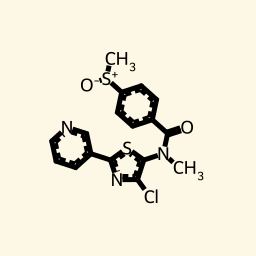 CN(C(=O)c1ccc([S+](C)[O-])cc1)c1sc(-c2cccnc2)nc1Cl